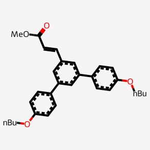 CCCCOc1ccc(-c2cc(/C=C/C(=O)OC)cc(-c3ccc(OCCCC)cc3)c2)cc1